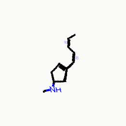 C/C=C\C=C/C1=CCC(NC)C1